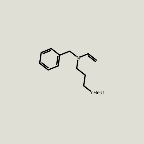 C=CN(CCCCCCCCCC)Cc1ccccc1